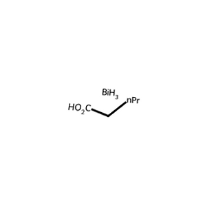 CCCCC(=O)O.[BiH3]